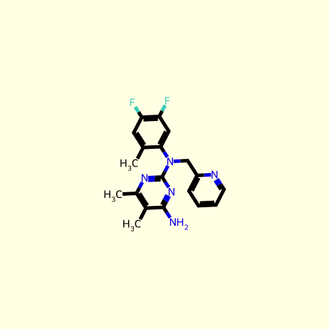 Cc1cc(F)c(F)cc1N(Cc1ccccn1)c1nc(C)c(C)c(N)n1